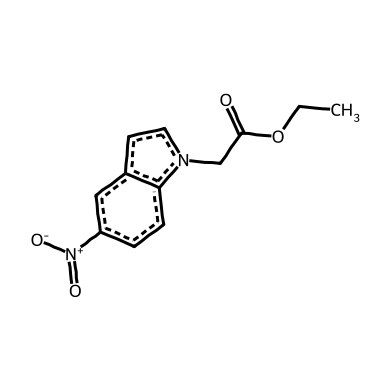 CCOC(=O)Cn1ccc2cc([N+](=O)[O-])ccc21